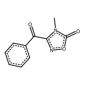 Cn1c(C(=O)c2ccccc2)noc1=O